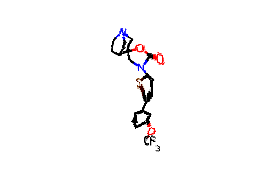 O=C1O[C@]2(CN3CCC2CC3)CN1c1ccc(-c2cccc(OC(F)(F)F)c2)s1